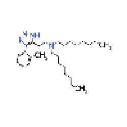 CCCCCCCCN(CCCCCCCC)CCc1[nH]nnc1-c1ccccc1C